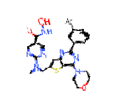 CC(=O)c1cccc(-c2nc(N3CCOCC3)c3sc(CN(C)c4ncc(C(=O)NO)cn4)cc3n2)c1